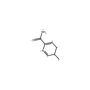 CC1C=NC(C(N)=O)=CC1